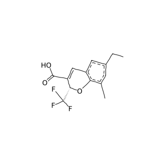 CCc1cc(C)c2c(c1)C=C(C(=O)O)[C@@H](C(F)(F)F)O2